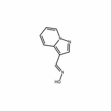 ON=Cc1cnn2ccccc12